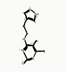 Cc1nc(Cl)nc(NCCc2cn[nH]c2)c1C